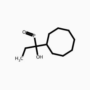 CCC(O)(P=O)C1CCCCCCC1